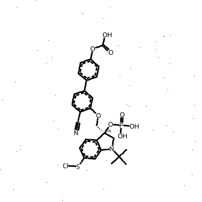 CC(C)(C)N1C[C@](COc2cc(-c3ccc(OC(=O)O)cc3)ccc2C#N)(OP(=O)(O)O)c2ccc(SCl)cc21